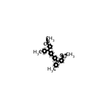 CCOC(=O)c1cccc(C(c2ccc(C)cc2)c2ccc(-c3ccc(N(c4ccc(C)cc4)c4cccc(C(=O)OCC)c4)cc3)cc2)c1